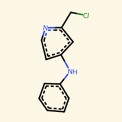 ClCc1cc(Nc2ccccc2)ccn1